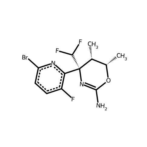 C[C@@H]1OC(N)=N[C@](c2nc(Br)ccc2F)(C(F)F)[C@@H]1C